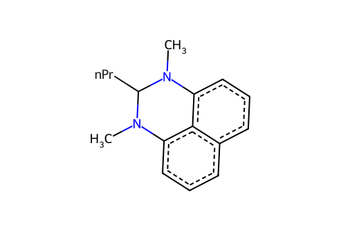 CCCC1N(C)c2cccc3cccc(c23)N1C